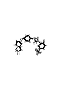 O=C(Nc1ccc(OC2=CC3=CNSN3C=C2)cc1)Nc1cc(C(F)(F)F)ccc1F